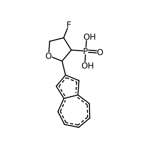 O=P(O)(O)C1C(F)COC1c1cc2cccccc-2c1